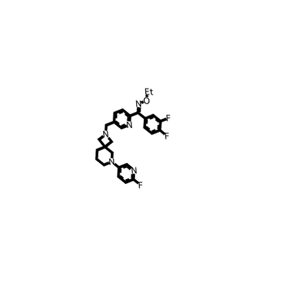 CCON=C(c1ccc(F)c(F)c1)c1ccc(CN2CC3(CCCN(c4ccc(F)nc4)C3)C2)cn1